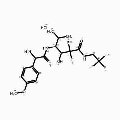 COc1ccc(C(N)C(=O)N[C@@H](C(C)C)C(O)C(F)(F)C(=O)NCC(F)(F)F)cc1.Cl